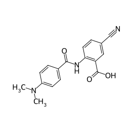 CN(C)c1ccc(C(=O)Nc2ccc(C#N)cc2C(=O)O)cc1